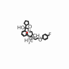 C[N+](C)(CCOc1ccc(F)cc1)C1(F)CCN(C(=O)C(O)(c2ccccc2)C2CCCC2)CC1